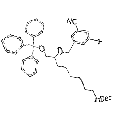 CCCCCCCCCCCCCCCCC(COC(c1ccccc1)(c1ccccc1)c1ccccc1)OCc1cc(F)cc(C#N)c1